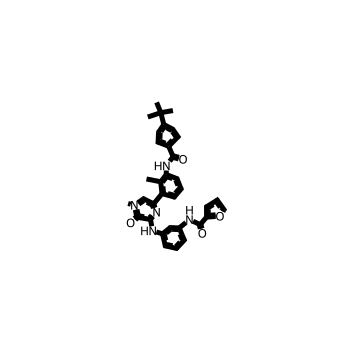 Cc1c(NC(=O)c2ccc(C(C)(C)C)cc2)cccc1-c1cn(C)c(=O)c(Nc2cccc(NC(=O)c3ccco3)c2)n1